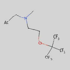 CC(=O)CN(C)CCOC(C(F)(F)F)(C(F)(F)F)C(F)(F)F